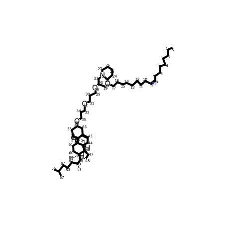 CCCCCCCC/C=C\CCCCCCCCOCC(CN1CCCCC1)OCCCOCCCO[C@H]1CC[C@@]2(C)C(=CC[C@H]3[C@@H]4CC[C@H]([C@H](C)CCCC(C)C)[C@@]4(C)CC[C@@H]32)C1